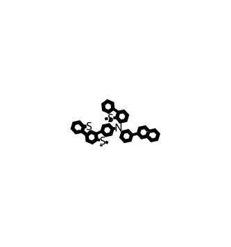 CS1(C)c2cc(N(c3cccc(-c4ccc5ccccc5c4)c3)c3cccc4c3S(C)(C)c3ccccc3-4)ccc2-c2c1ccc1c2sc2ccccc21